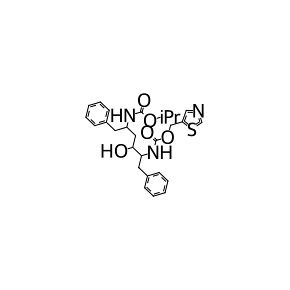 CC(C)OC(=O)NC(Cc1ccccc1)CC(O)C(Cc1ccccc1)NC(=O)OCc1cncs1